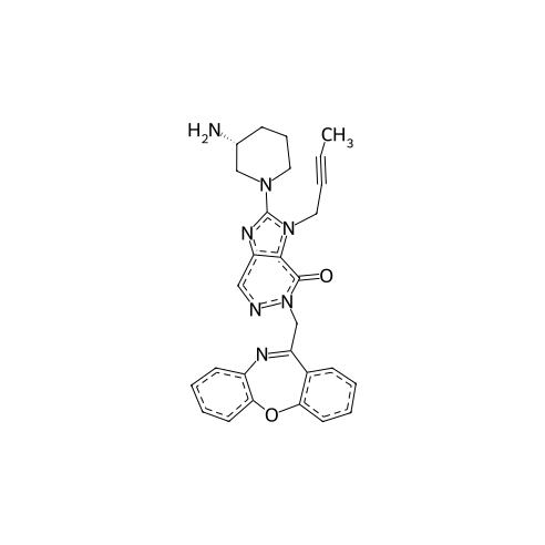 CC#CCn1c(N2CCC[C@@H](N)C2)nc2cnn(CC3=Nc4ccccc4Oc4ccccc43)c(=O)c21